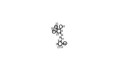 COc1cc(C/C=C/c2ccccc2[O])cc(OC)c1OC